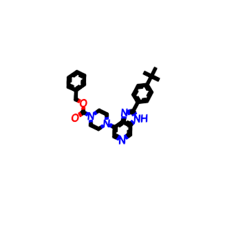 CC(C)(C)c1ccc(-c2nc3c(N4CCN(C(=O)OCc5ccccc5)CC4)cncc3[nH]2)cc1